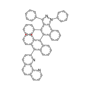 c1ccc(-c2nn(-c3ccccc3)c3c2c(-c2ccccc2)c(-c2c4ccccc4c(-c4ccc5ccc6cccnc6c5n4)c4ccccc24)c2ccccc23)cc1